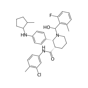 Cc1ccc(NC(=O)[C@H]2CCCN(C(O)c3c(C)cccc3F)[C@H]2c2ccc(NC3CCCC3C)cc2)cc1Cl